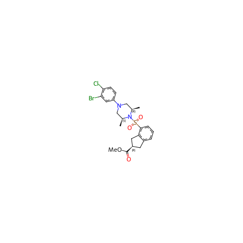 COC(=O)[C@@H]1Cc2cccc(S(=O)(=O)N3[C@H](C)CN(c4ccc(Cl)c(Br)c4)C[C@@H]3C)c2C1